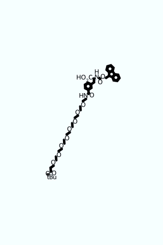 CC(C)(C)OC(=O)CCOCCOCCOCCOCCOCCOCCOCCOCCNC(=O)c1cccc(C[C@H](NC(=O)OCC2c3ccccc3-c3ccccc32)C(=O)O)c1